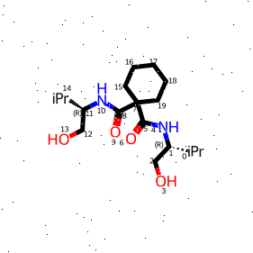 CC(C)[C@H](CO)NC(=O)C1(C(=O)N[C@@H](CO)C(C)C)CCCCC1